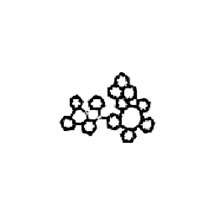 c1ccc(N(c2ccc3c4ccccc4c4ccccc4c4ccccc4c4c(cc5ccc6cccc7ccc4c5c67)c3c2)c2cccc3c2Oc2ccccc2-c2ccccc2-3)cc1